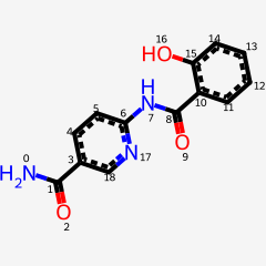 NC(=O)c1ccc(NC(=O)c2ccccc2O)nc1